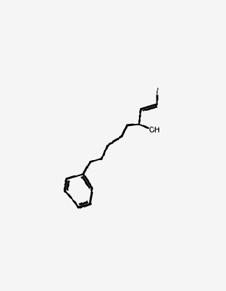 OC(/C=C/I)CCCCCc1ccccc1